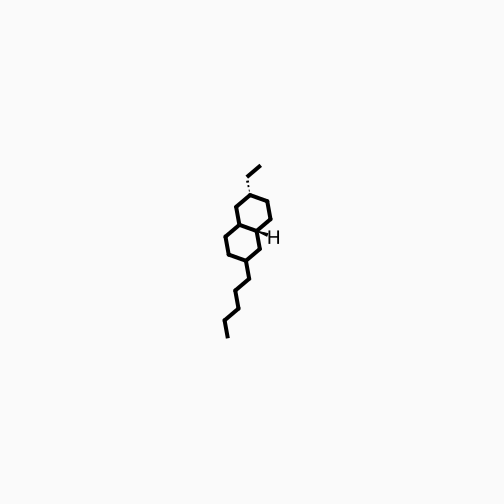 CCCCCC1CCC2C[C@H](CC)CC[C@@H]2C1